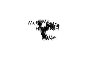 COc1ccc(CCNc2nc(N3CCc4cc(OC)c(OC)cc4C3)nc(N3CCc4cc(OC)c(OC)cc4C3)n2)cc1OC.O=P(O)(O)O